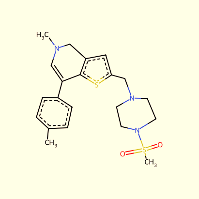 Cc1ccc(C2=CN(C)Cc3cc(CN4CCN(S(C)(=O)=O)CC4)sc32)cc1